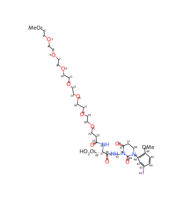 COCCOCCOCCOCCOCCOCCOCCOCCC(=O)N[C@@H](CC(=O)O)C(=O)NCN1C(=O)CCN(c2cc(I)ccc2OC)C1=O